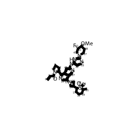 C=CC(=O)N1CCCC1c1ncc(N2CC(C3CCCC(C)S3(=O)=O)C2)c2cnc(Nc3ccnc(N4CC[C@@H](OC)[C@@H](F)C4)n3)cc12